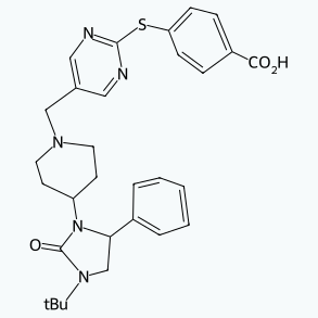 CC(C)(C)N1CC(c2ccccc2)N(C2CCN(Cc3cnc(Sc4ccc(C(=O)O)cc4)nc3)CC2)C1=O